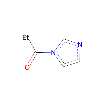 [CH2]CC(=O)n1ccnc1